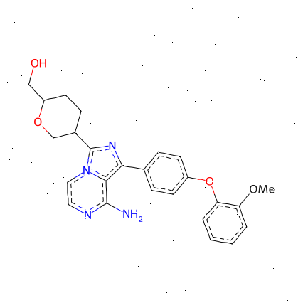 COc1ccccc1Oc1ccc(-c2nc(C3CCC(CO)OC3)n3ccnc(N)c23)cc1